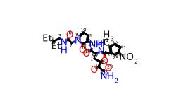 CCC(CC)CNC(=O)Cn1cccc(NC(=O)[C@H](CCC(=O)C(N)=O)NC(=O)c2cc([N+](=O)[O-])ccc2C)c1=O